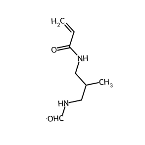 C=CC(=O)NCC(C)CN[C]=O